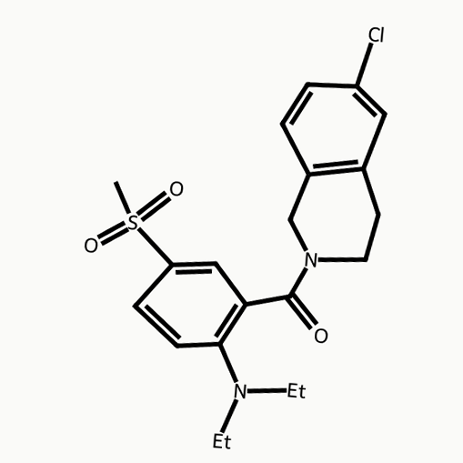 CCN(CC)c1ccc(S(C)(=O)=O)cc1C(=O)N1CCc2cc(Cl)ccc2C1